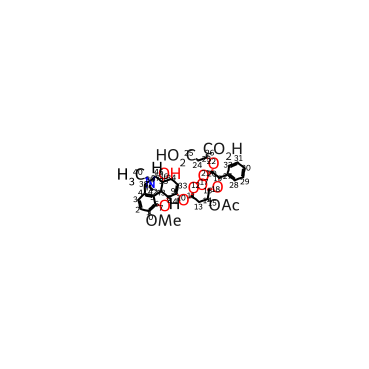 COc1ccc2c3c1O[C@@H]1C(OC(=O)C[C@H](OC(C)=O)C(=O)O[C@H](C(=O)O[C@@H](CC(=O)O)C(=O)O)c4ccccc4)=CC[C@]4(O)[C@H](C2)N(C)CC[C@@]314